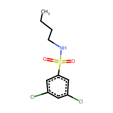 CCCCNS(=O)(=O)c1cc(Cl)cc(Cl)c1